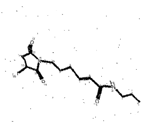 CCCNC(=O)CCCCCN1C(=O)CC(I)C1=O